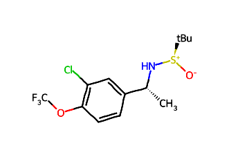 C[C@@H](N[S@+]([O-])C(C)(C)C)c1ccc(OC(F)(F)F)c(Cl)c1